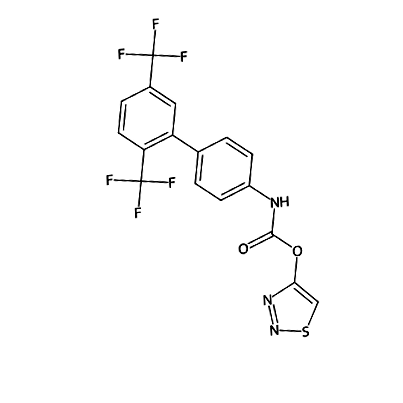 O=C(Nc1ccc(-c2cc(C(F)(F)F)ccc2C(F)(F)F)cc1)Oc1csnn1